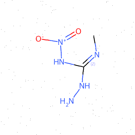 C/N=C(/NN)N[N+](=O)[O-]